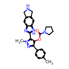 Cc1ccc(-c2nn(C)c(-c3nc4cc5c(cc4[nH]3)CNC5)c2OC(=O)N2CCCC2)cc1